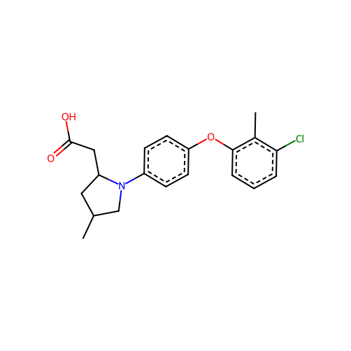 Cc1c(Cl)cccc1Oc1ccc(N2CC(C)CC2CC(=O)O)cc1